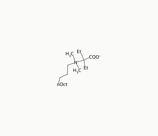 CCCCCCCCCCC[N+](C)(C)C(CC)(CC)C(=O)[O-]